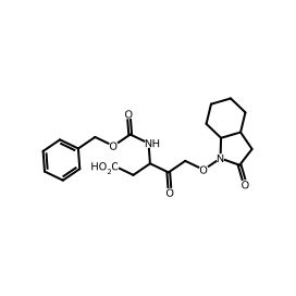 O=C(O)CC(NC(=O)OCc1ccccc1)C(=O)CON1C(=O)CC2CCCCC21